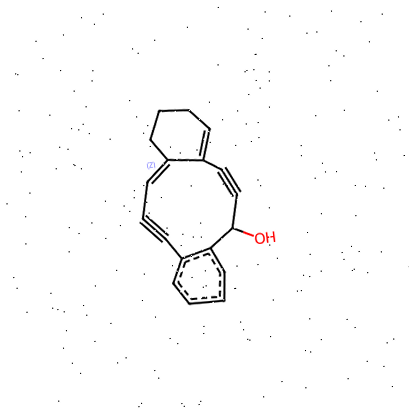 OC1C#CC2=CCCC/C2=C/C#Cc2ccccc21